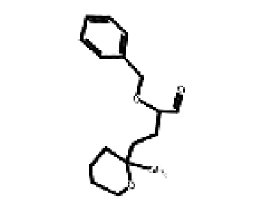 O=CC(CCC1([SiH3])CCCCO1)OCc1ccccc1